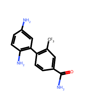 NC(=O)c1ccc(-c2cc(N)ccc2N)c(C(F)(F)F)c1